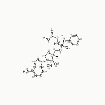 COC(=O)[C@H](C)N[P@](=O)(OC[C@@]1(C)OC[C@](O)(c2ccc3c(N)ncnn23)[C@@H]1O)Oc1ccccc1